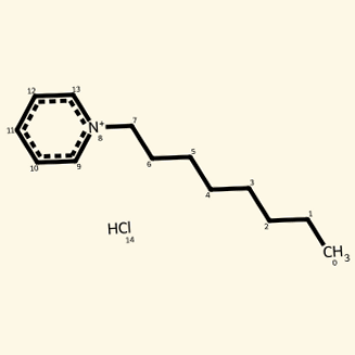 CCCCCCCC[n+]1ccccc1.Cl